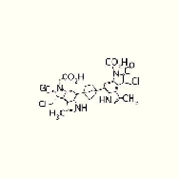 Cc1c[nH]c2c(C34CCC(c5cc6c(c7c(C)c[nH]c57)[C@H](CCl)C(=C=O)N6CC(=O)O)(CC3)CC4)cc3c(c12)[C@H](CCl)C(=C=O)N3CC(=O)O